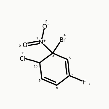 O=[N+]([O-])C1(Br)C=C(F)C=CC1Cl